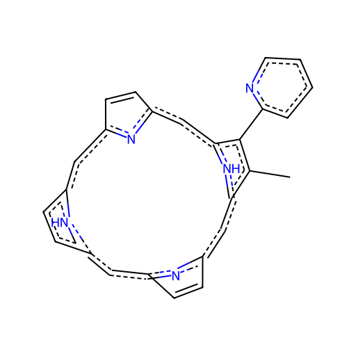 Cc1c(-c2ccccn2)c2cc3nc(cc4ccc(cc5nc(cc1[nH]2)C=C5)[nH]4)C=C3